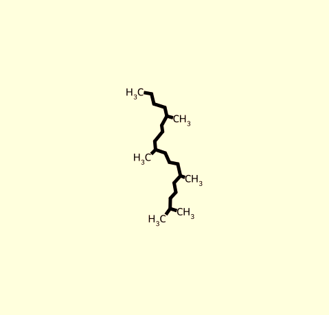 CCCCC(C)CCCC(C)CCCC(C)CCCC(C)C